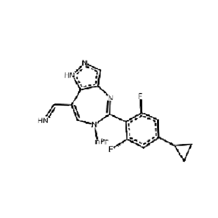 CCCN1C=C(C=N)c2[nH]ncc2N=C1c1c(F)cc(C2CC2)cc1F